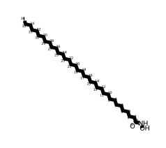 O=C(CCCCCCCCCCCCCCCCCCCCCCCCCCCCCCCCCCI)NO